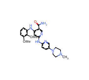 COc1cccc(Nc2cc(Nc3ccc(N4CCN(C)CC4)cn3)ncc2C(N)=O)c1OC